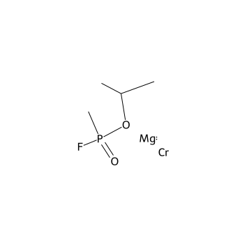 CC(C)OP(C)(=O)F.[Cr].[Mg]